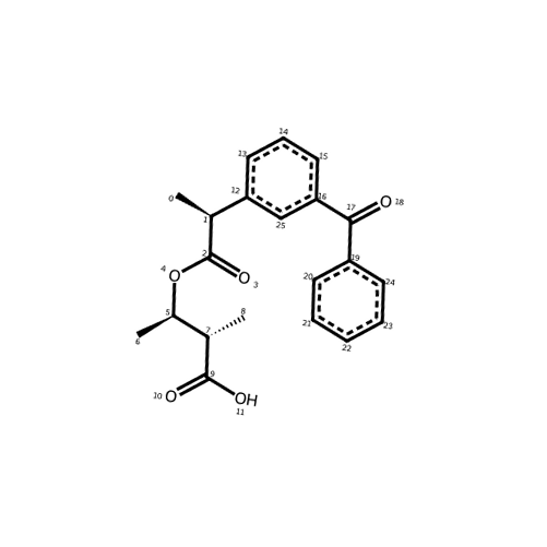 C[C@H](C(=O)O[C@H](C)[C@H](C)C(=O)O)c1cccc(C(=O)c2ccccc2)c1